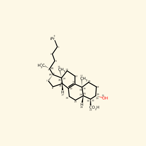 CC(C)CCC[C@@H](C)[C@H]1CC[C@H]2C3=C(CC[C@]12C)[C@@]1(C)CC[C@H](O)[C@@H](C(=O)O)[C@@H]1CC3